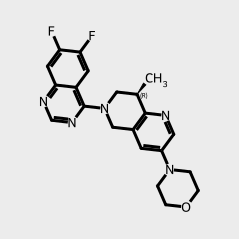 C[C@@H]1CN(c2ncnc3cc(F)c(F)cc23)Cc2cc(N3CCOCC3)cnc21